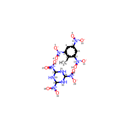 Cc1c([N+](=O)[O-])cc([N+](=O)[O-])cc1[N+](=O)[O-].O=[N+]([O-])C1NC([N+](=O)[O-])NC([N+](=O)[O-])N1